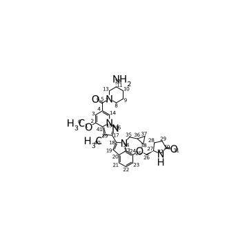 COc1cc(C(=O)N2CCC[C@@H](N)C2)cn2nc(-c3cc4cccc(OC[C@H]5CCC(=O)N5)c4n3CC3CC3)c(C)c12